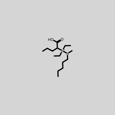 CCCCCN(C)[N+](CC)(CC)C(CCC)C(=O)O